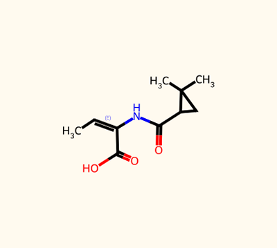 C/C=C(/NC(=O)C1CC1(C)C)C(=O)O